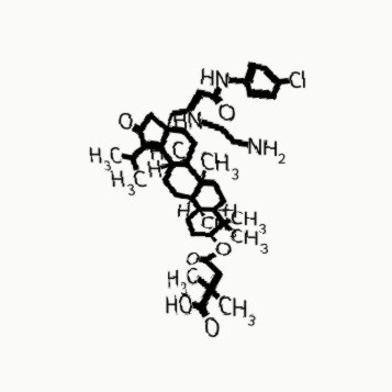 CC(C)C1=C2[C@H]3CC[C@@H]4[C@@]5(C)CC[C@H](OC(=O)CC(C)(C)C(=O)O)C(C)(C)[C@@H]5CC[C@@]4(C)[C@]3(C)CC[C@@]2(C/C(=C/C(=O)Nc2ccc(Cl)cc2)NCCN)CC1=O